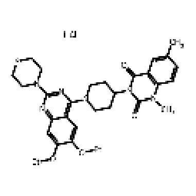 CCOc1cc2nc(N3CCSCC3)nc(N3CCC(n4c(=O)c5cc(C)ccc5n(C)c4=O)CC3)c2cc1OCC.Cl